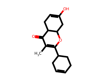 CC1=C(C2CC=CCC2)OC2CC(O)=CCC2C1=O